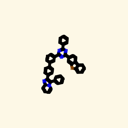 c1ccc(-c2nc(-c3cccc(-c4ccc(-c5nc6ccccn6c5-c5ccccc5)cc4)c3)nc(-c3ccc4c(c3)sc3ccccc34)n2)cc1